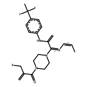 C=C(CF)C(=O)N1CCN(/C(=N/C=C\C)C(=C)Nc2ccc(C(C)(F)F)cc2)CC1